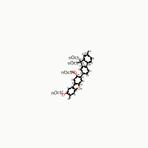 CCCCCCCCOc1cc2c(cc1C)sc1cc(-c3ccc4c(c3)C(CCCCCCCC)(CCCCCCCC)c3cc(C)ccc3-4)c(OCCCCCCCC)cc12